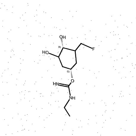 CCNC(=N)O[C@@H]1CC(O)[C@H](O)C(CF)C1